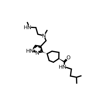 CNCCN(C)Cc1c[nH]nc1[C@H]1CC[C@H](C(=O)NCCC(C)C)CC1